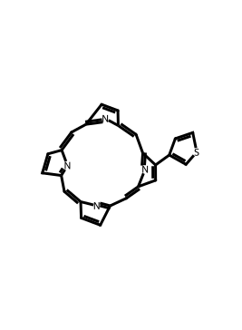 C1=CC2=NC1=CC1=NC(=CC3=NC(=CC4=NC(=C2)C=C4)C=C3c2ccsc2)C=C1